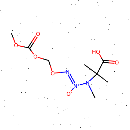 COC(=O)OCO/N=[N+](\[O-])N(C)C(C)(C)C(=O)O